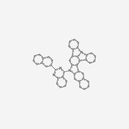 c1ccc2cc(-c3nc(-n4c5cc6ccccc6cc5c5c6c7ccccc7n7c8ccccc8c(cc54)c67)c4ccccc4n3)ccc2c1